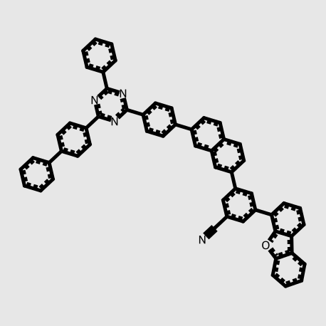 N#Cc1cc(-c2ccc3ccc(-c4ccc(-c5nc(-c6ccccc6)nc(-c6ccc(-c7ccccc7)cc6)n5)cc4)cc3c2)cc(-c2cccc3c2oc2ccccc23)c1